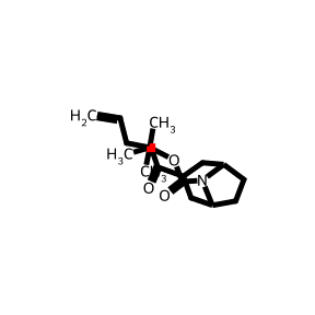 C=CCCC(=O)C1CC2CCC(C1)N2C(=O)OC(C)(C)C